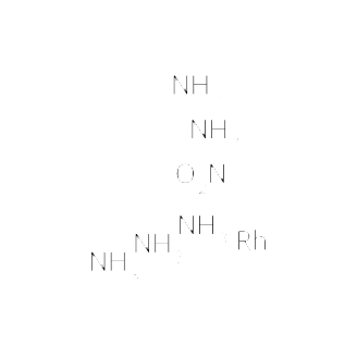 N.N.N.N.N.O=[N+]([O-])[Rh]